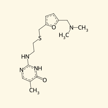 Cc1cnc(NCCSCc2ccc(CN(C)C)o2)[nH]c1=O